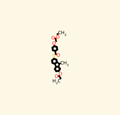 C=COC(=O)COc1ccc(C(=O)Sc2ccc3c(c2)C(C)c2cc(OC(=O)C=C)ccc2-3)cc1